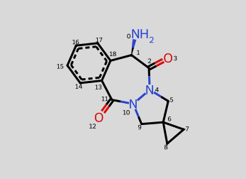 N[C@H]1C(=O)N2CC3(CC3)CN2C(=O)c2ccccc21